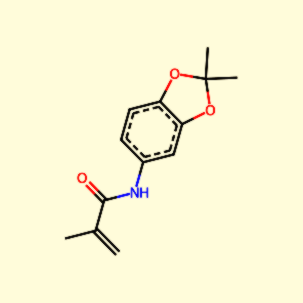 C=C(C)C(=O)Nc1ccc2c(c1)OC(C)(C)O2